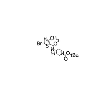 Cc1nc(Br)sc1C(=O)NC1CCN(C(=O)OC(C)(C)C)CC1